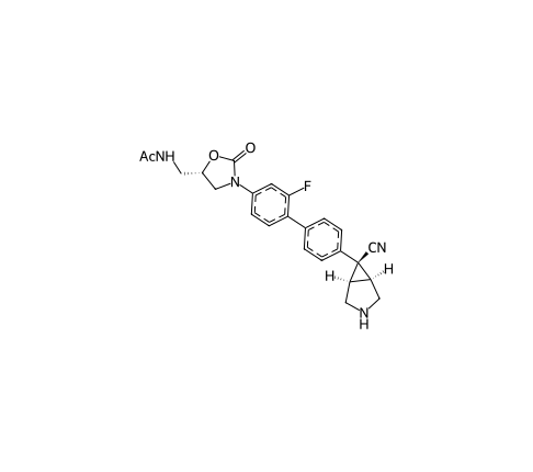 CC(=O)NC[C@H]1CN(c2ccc(-c3ccc([C@@]4(C#N)[C@@H]5CNC[C@@H]54)cc3)c(F)c2)C(=O)O1